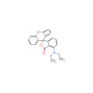 CCN(CC)c1cccc2c1C(=O)OC21c2ccccc2Oc2ccccc21